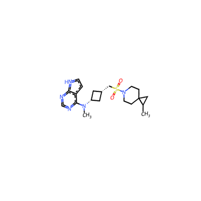 CC1CC12CCN(S(=O)(=O)C[C@H]1C[C@@H](N(C)c3ncnc4[nH]ccc34)C1)CC2